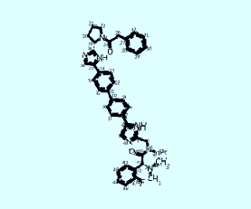 CCCN(Cc1ncc(-c2ccc(-c3ccc(-c4cnc([C@@H]5CCCN5C(=O)Cc5ccccc5)[nH]4)cc3)cc2)[nH]1)C(=O)[C@@H](c1ccccc1F)N(C)C